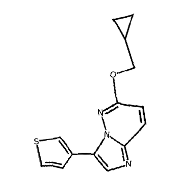 c1cc(-c2cnc3ccc(OCC4CC4)nn23)cs1